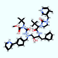 COC(=O)N(CC(C)(C)C)C(=O)NN(Cc1ccc(-c2ccccn2)cc1)CC(O)C(Cc1ccccc1)NC(=O)C(N1CCN(Cc2cnccc2C)C1=O)C(C)(C)C